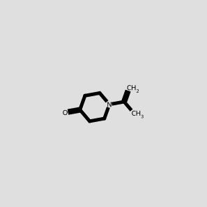 C=C(C)N1CCC(=O)CC1